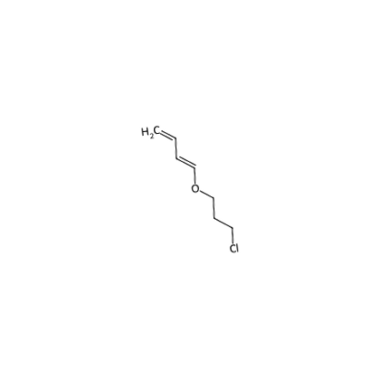 C=CC=COCCCCl